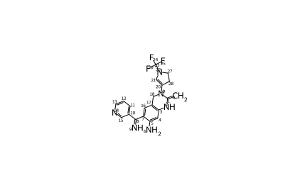 C=C1Nc2cc(N)c(C(=N)c3cccnc3)cc2CN1C1=CN(C(F)(F)F)CC1